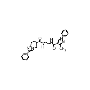 O=C(NCCNC(=O)C1CCc2nc(-c3ccccc3)cn2C1)c1cn(-c2ccccc2)nc1C(F)(F)F